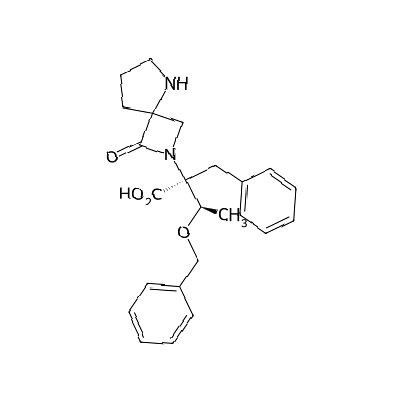 C[C@@H](OCc1ccccc1)[C@@](Cc1ccccc1)(C(=O)O)N1CC2(CCCN2)C1=O